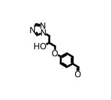 O=Cc1ccc(OCC(O)Cn2cncn2)cc1